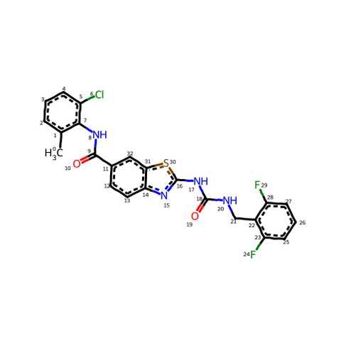 Cc1cccc(Cl)c1NC(=O)c1ccc2nc(NC(=O)NCc3c(F)cccc3F)sc2c1